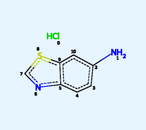 Cl.Nc1ccc2ncsc2c1